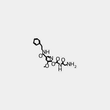 COc1cc(C(=O)NCCc2ccccc2)cnc1OC(=O)NC(=O)CN